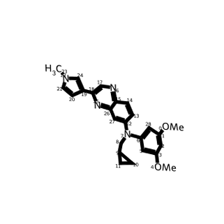 COc1cc(OC)cc(N(CC2CC2)c2ccc3ncc(-c4ccn(C)c4)nc3c2)c1